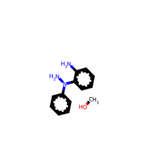 CO.Nc1ccccc1N(N)c1ccccc1